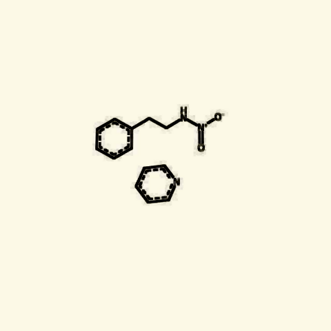 O=[N+]([O-])NCCc1ccccc1.c1ccncc1